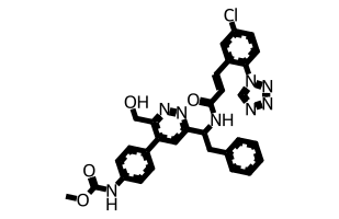 COC(=O)Nc1ccc(-c2cc(C(Cc3ccccc3)NC(=O)C=Cc3cc(Cl)ccc3-n3cnnn3)nnc2CO)cc1